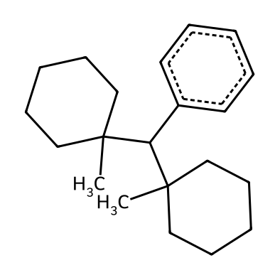 CC1(C(c2ccccc2)C2(C)CCCCC2)CCCCC1